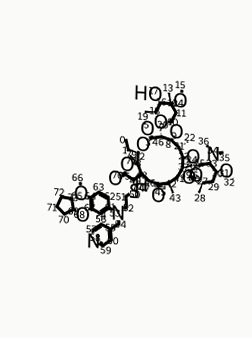 CC[C@H]1OC(=O)[C@H](C)[C@@H](O[C@H]2C[C@@](C)(OC)[C@@H](O)[C@H](C)O2)[C@H](C)[C@@H](O[C@@H]2O[C@H](C)C[C@@H](OC)[C@@H]2N(C)C)[C@](C)(OC)C[C@@H](C)C(=O)[C@H](C)[C@H]2[C@H](SCCN(Cc3ccncc3)c3ccc(OC)c(OC4CCCC4)c3)C(=O)O[C@@]21C